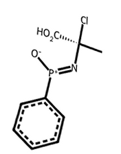 C[C@](Cl)(/N=[P+](\[O-])c1ccccc1)C(=O)O